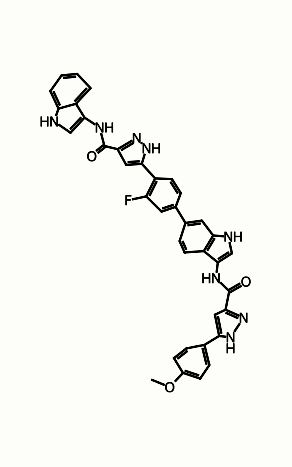 COc1ccc(-c2cc(C(=O)Nc3c[nH]c4cc(-c5ccc(-c6cc(C(=O)Nc7c[nH]c8ccccc78)n[nH]6)c(F)c5)ccc34)n[nH]2)cc1